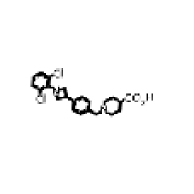 O=C(O)C1CCN(Cc2ccc(C3CN(c4c(Cl)cccc4Cl)C3)cc2)CC1